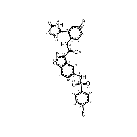 O=C(Nc1ccc(Br)cc1-c1nnn[nH]1)c1noc2ccc(NS(=O)(=O)c3ccc(F)cc3)cc12